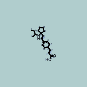 CCC(C)NC1(/C=C/c2ccc(/C=C/C(=O)O)cc2)CCCC1